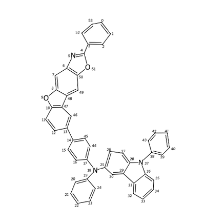 c1ccc(-c2nc3cc4oc5ccc(-c6ccc(N(c7ccccc7)c7ccc8c(c7)c7ccccc7n8-c7ccccc7)cc6)cc5c4cc3o2)cc1